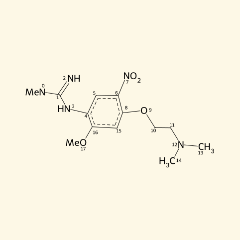 CNC(=N)Nc1cc([N+](=O)[O-])c(OCCN(C)C)cc1OC